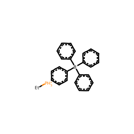 CC[PH3+].c1ccc([B-](c2ccccc2)(c2ccccc2)c2ccccc2)cc1